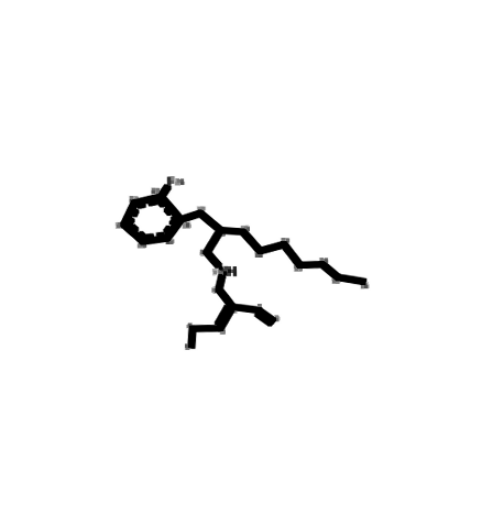 C=C/C(=C/CC)CNCC(CCCCCCC)Cc1ccccc1F